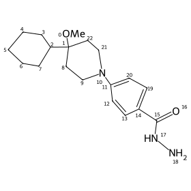 COC1(C2CCCCC2)CCN(c2ccc(C(=O)NN)cc2)CC1